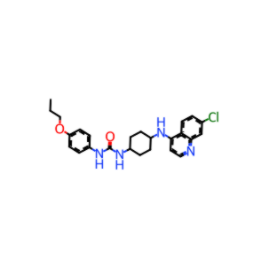 CCCOc1ccc(NC(=O)NC2CCC(Nc3ccnc4cc(Cl)ccc34)CC2)cc1